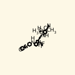 COc1cc(C(C)(C)C#N)ccc1NCC#Cc1cc2c(N[C@H]3CC[C@@H](N4CC5(CCOCC5)C4)CC3)cccc2n1CC(F)(F)F